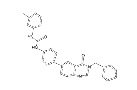 Cc1cccc(NC(=O)Nc2ccc(-c3ccc4ncn(Cc5ccccc5)c(=O)c4c3)cn2)c1